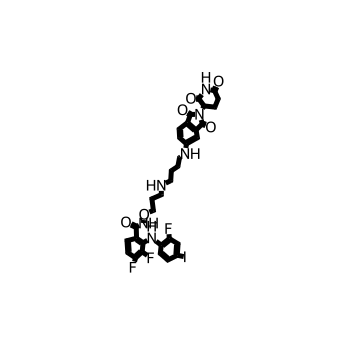 O=C1CCC(N2C(=O)c3ccc(NCCCCNCCCONC(=O)c4ccc(F)c(F)c4Nc4ccc(I)cc4F)cc3C2=O)C(=O)N1